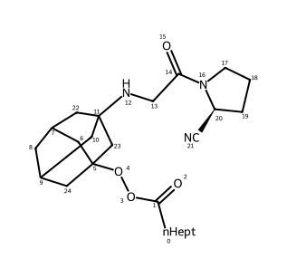 CCCCCCCC(=O)OOC12CC3CC(CC(NCC(=O)N4CCC[C@H]4C#N)(C3)C1)C2